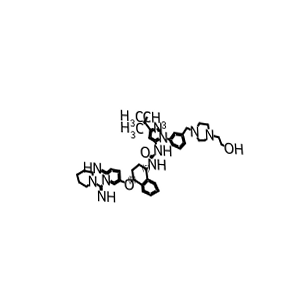 CC(C)(C)c1cc(NC(=O)N[C@H]2CC[C@@H](Oc3ccc(=N)n(C(=N)N4CCCCC4)c3)c3ccccc32)n(-c2cccc(CN3CCN(CCO)CC3)c2)n1